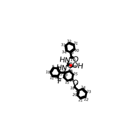 O=C(NC(=S)N[C@@]1(c2ccccc2F)CC[C@@H](OCc2ccccc2)C[C@H]1CO)c1ccccc1